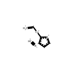 C#N.C=[CH][Cu][c]1cccs1